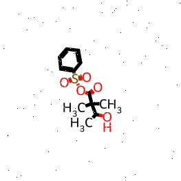 CC(O)C(C)(C)C(=O)OS(=O)(=O)c1ccccc1